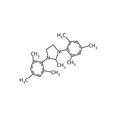 Cc1cc(C)c(N2CCN(c3c(C)cc(C)cc3C)C2C)c(C)c1